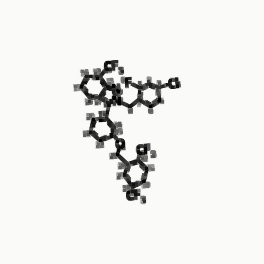 Fc1cc(Cl)ccc1Cn1nc2c(C(F)(F)F)cccc2c1-c1cccc(OCc2cc(C(F)(F)F)ccc2C(F)(F)F)c1